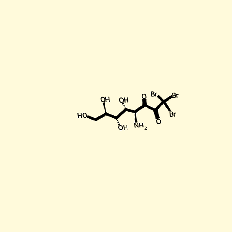 N[C@H](C(=O)C(=O)C(Br)(Br)Br)[C@@H](O)[C@H](O)[C@H](O)CO